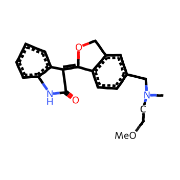 COCCN(C)Cc1ccc2c(c1)COC2=C1C(=O)Nc2ccccc21